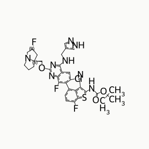 CC(C)(C)OC(=O)Nc1sc2c(F)ccc(-c3c(Cl)cc4c(NCc5cn[nH]c5)nc(OC[C@@]56CCCN5C[C@H](F)C6)nc4c3F)c2c1C#N